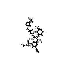 CNC(=O)c1cc(C#N)cc(C)c1NC(=O)c1cc(Cn2nnc(C(F)(F)F)n2)nn1-c1c(F)cccc1Cl